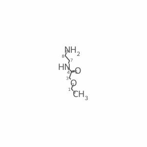 CCOCC(=O)NCCN